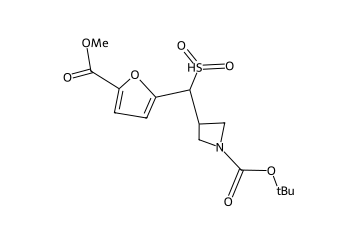 COC(=O)c1ccc(C(C2CN(C(=O)OC(C)(C)C)C2)[SH](=O)=O)o1